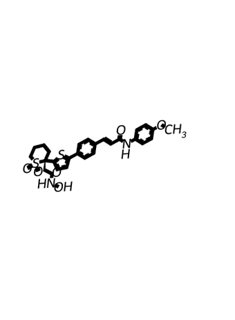 COc1ccc(NC(=O)/C=C/c2ccc(-c3ccc([C@@]4(CC(=O)NO)CCCCS4(=O)=O)s3)cc2)cc1